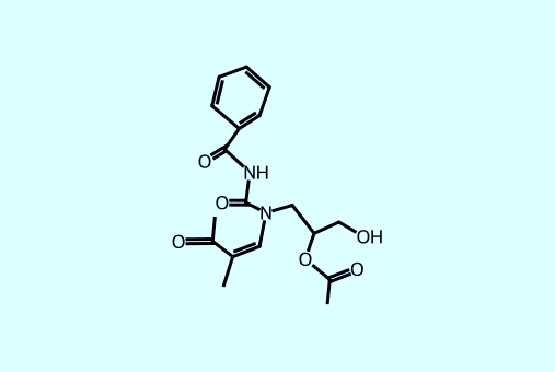 CC(=O)OC(CO)CN(/C=C(/C)C(C)=O)C(=O)NC(=O)c1ccccc1